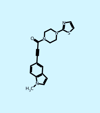 Cn1ccc2cc(C#CC(=O)N3CCN(c4nccs4)CC3)ccc21